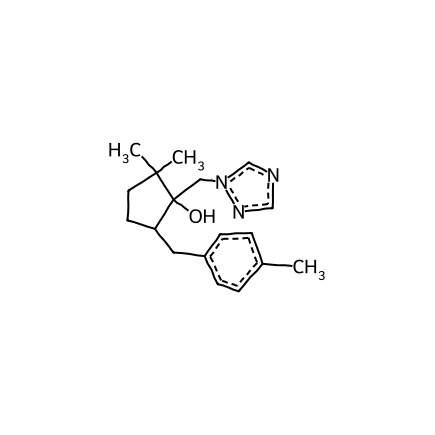 Cc1ccc(CC2CCC(C)(C)C2(O)Cn2cncn2)cc1